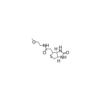 COCCNC(=O)CC1SC[C@@H]2NC(=O)N[C@H]12